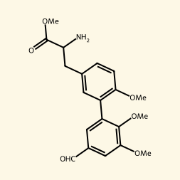 COC(=O)C(N)Cc1ccc(OC)c(-c2cc(C=O)cc(OC)c2OC)c1